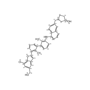 Cc1c(Nc2nccc3cc(CN4CC[C@@H](O)C4)cnc23)cccc1-c1cccc(-c2cc3cc(CO)cc(Cl)c3o2)c1C